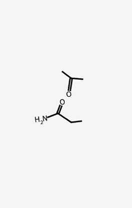 CC(C)=O.CCC(N)=O